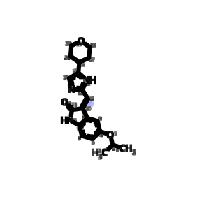 CC(C)Oc1ccc2c(c1)/C(=C/c1ncc(C3CCOCC3)[nH]1)C(=O)N2